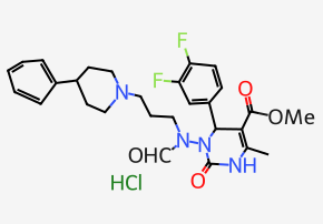 COC(=O)C1=C(C)NC(=O)N(N(C=O)CCCN2CCC(c3ccccc3)CC2)C1c1ccc(F)c(F)c1.Cl